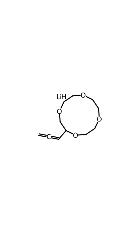 C=C=CC1COCCOCCOCCO1.[LiH]